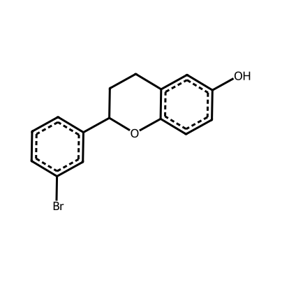 Oc1ccc2c(c1)CCC(c1cccc(Br)c1)O2